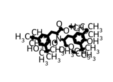 CCOC(=O)C(Cc1cc(C(C)(C)C)c(O)c(C(C)(C)C)c1)N(O)C(Cc1cc(C(C)(C)C)c(O)c(C(C)(C)C)c1)C(=O)OCC